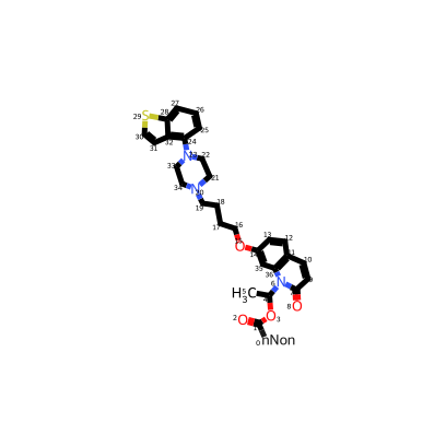 CCCCCCCCCC(=O)OC(C)n1c(=O)ccc2ccc(OCCCCN3CCN(c4cccc5sccc45)CC3)cc21